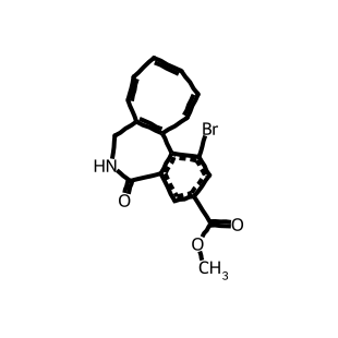 COC(=O)c1cc(Br)c2c(c1)C(=O)NCC1=C2\C=C/C=C\C=C/1